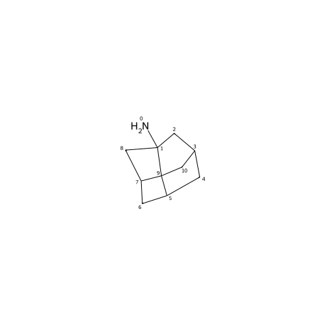 NC12CC3CC4CC(C1)C42C3